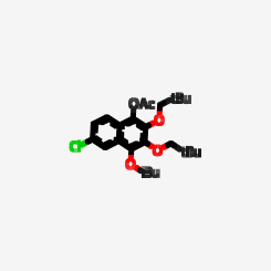 CCC(C)Oc1c(OCC(C)(C)C)c(OCC(C)(C)C)c(OC(C)=O)c2ccc(Cl)cc12